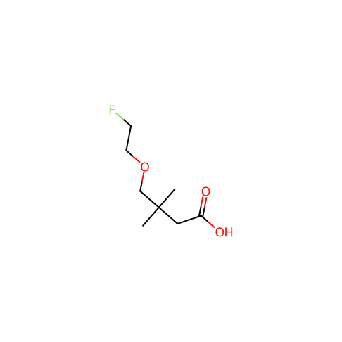 CC(C)(COCCF)CC(=O)O